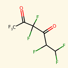 O=C(C(F)C(F)F)C(F)(F)C(=O)C(F)(F)F